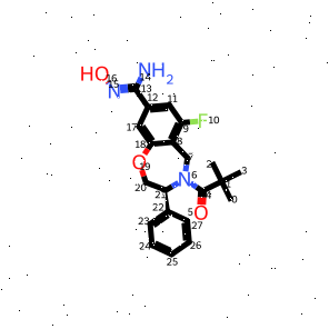 CC(C)(C)C(=O)N1Cc2c(F)cc(C(N)=NO)cc2OC[C@@H]1c1ccccc1